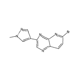 Cn1cc(-c2cnc3ccc(Br)nc3n2)cn1